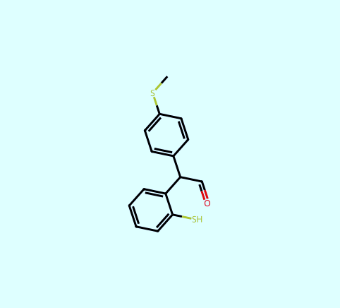 CSc1ccc(C(C=O)c2ccccc2S)cc1